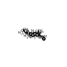 CC(C)C1=C2[C@H]3CC[C@@H]4[C@@]5(C)CC[C@H](OC(=O)CC(C)(C)C(=O)O)C(C)(C)[C@@H]5CC[C@@]4(C)[C@]3(C)CC[C@@]2([C@@H](O)Cc2nc3ccccc3[nH]2)CC1=O